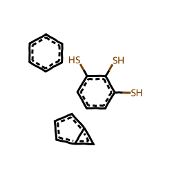 Sc1cccc(S)c1S.c1cc2cc-2c1.c1ccccc1